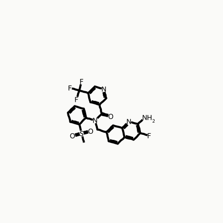 CS(=O)(=O)c1ccccc1N(Cc1ccc2cc(F)c(N)nc2c1)C(=O)c1cncc(C(F)(F)F)c1